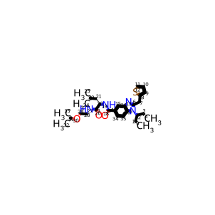 CCC(CC)n1c(Cc2cccs2)nc2cc(C(=O)N[C@@H](CC(C)C)C(=O)NCCOC(C)C)ccc21